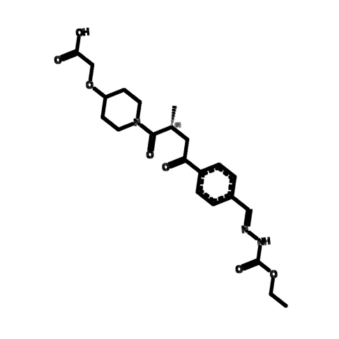 CCOC(=O)NN=Cc1ccc(C(=O)C[C@@H](C)C(=O)N2CCC(OCC(=O)O)CC2)cc1